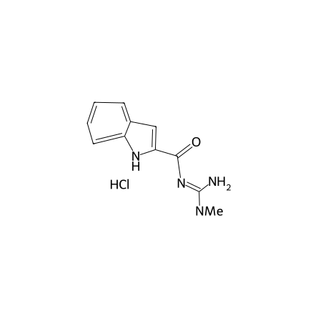 CNC(N)=NC(=O)c1cc2ccccc2[nH]1.Cl